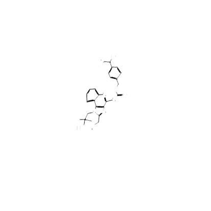 CCOCc1nc2c(NC(=O)OCc3ccc(C(N)CC)cc3)nc3ccccc3c2n1CC(C)(C)O